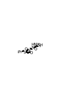 CC(C)CSC1CC(=O)N(CCNC(=O)C(N)CS)C1=O